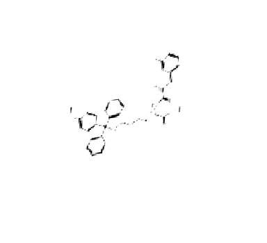 COc1ccc(C(NCCCC[C@H](NC(=O)[C@@H](N)Cc2cccc(F)c2)C(=O)O)(c2ccccc2)c2ccccc2)cc1